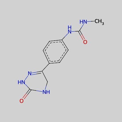 CNC(=O)Nc1ccc(C2=NNC(=O)NC2)cc1